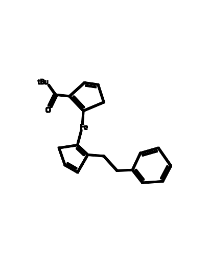 CC(C)(C)C(=O)C1=[C]([Fe][C]2=C(CCc3ccccc3)C=CC2)CC=C1